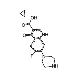 C1CC1.O=C(O)c1c[nH]c2cc(N3CCNCC3)c(F)cc2c1=O